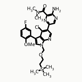 COc1ccc(F)cc1-c1cn(COCC[Si](C)(C)C)c2ncc(-c3cnc(N)c(C(=O)N(C)C)n3)c(Cl)c12